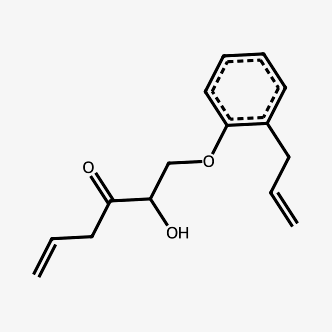 C=CCC(=O)C(O)COc1ccccc1CC=C